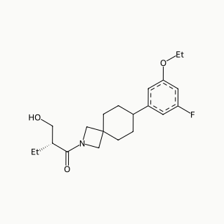 CCOc1cc(F)cc(C2CCC3(CC2)CN(C(=O)[C@H](CC)CO)C3)c1